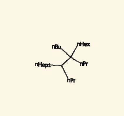 CCCCCCC[C](CCC)C(CCC)(CCCC)CCCCCC